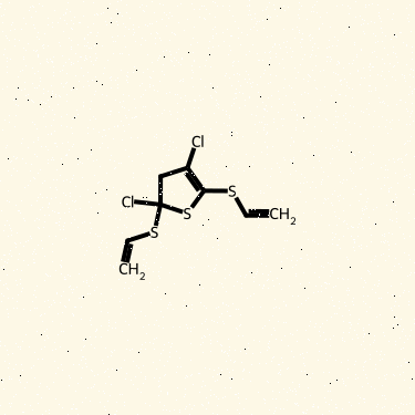 C=CSC1=C(Cl)CC(Cl)(SC=C)S1